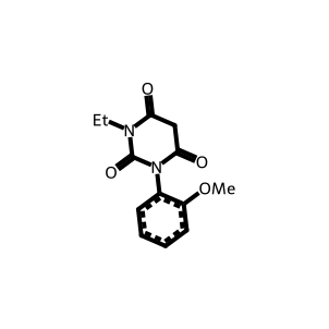 CCN1C(=O)CC(=O)N(c2ccccc2OC)C1=O